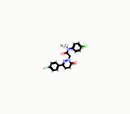 CN(C(=O)CN1N=C(c2ccc(F)cc2)CCC1=O)c1ccc(Cl)cc1